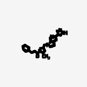 C[C@@H]1CC(Cn2ccc3cc(-c4cn[nH]c4)ncc32)CN1C(=O)CCc1ccccc1